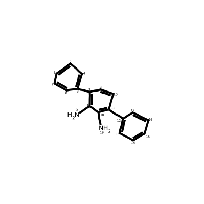 Nc1c(-c2ccccc2)ccc(-c2ccccc2)c1N